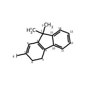 CC1(C)C2=C(CCC(I)=C2)c2ccccc21